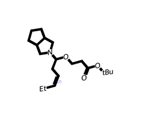 CC/C=C\CC(OCCC(=O)OC(C)(C)C)N1CC2CCCC2C1